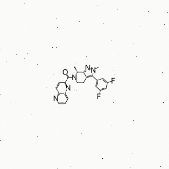 C[C@H]1c2nn(C)c(-c3cc(F)cc(F)c3)c2CCN1C(=O)c1ccc2ncccc2n1